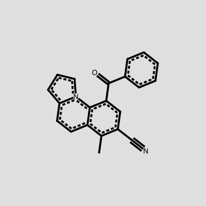 Cc1c(C#N)cc(C(=O)c2ccccc2)c2c1ccc1cccn12